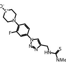 CNC(=S)NCc1cn(-c2ccc(N3CC[S+]([O-])CC3)c(F)c2)nn1